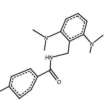 CN(C)c1cccc(N(C)C)c1CNC(=O)c1ccc(Cl)cc1